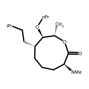 CCCO[C@@H]1[C@@H](CCC(C)C)CCC[C@H](NC)C(=O)O[C@H]1C